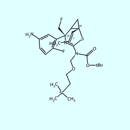 CC(C)(C)OC(=O)N(COCC[Si](C)(C)C)C1=N[C@](CF)(c2cc(N)ccc2F)C2C[C@]2(/C=C/C(=O)O)S1